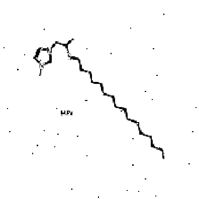 Br.CCCCCCCCCCCCCCCCSC(C)CN1C=CN(C)C1